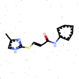 Cc1c[nH]c(SC=CC(=O)Nc2ccccc2)n1